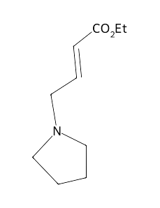 CCOC(=O)/C=C/CN1CCCC1